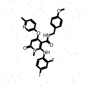 COc1ccc(CNC(=O)c2c(Oc3ccc(C)nc3)cc(=O)n(C)c2Nc2ccc(I)cc2F)cc1